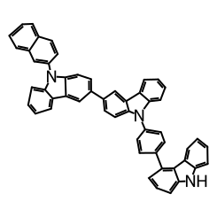 c1ccc2cc(-n3c4ccccc4c4cc(-c5ccc6c(c5)c5ccccc5n6-c5ccc(-c6cccc7[nH]c8ccccc8c67)cc5)ccc43)ccc2c1